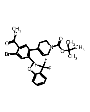 COC(=O)c1cc(C2=CCN(C(=O)OC(C)(C)C)CC2)c(COc2ccccc2C(F)(F)F)cc1Br